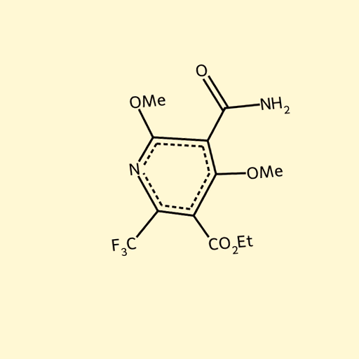 CCOC(=O)c1c(C(F)(F)F)nc(OC)c(C(N)=O)c1OC